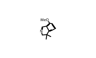 COc1cccc2c1C=NCC2(C)C